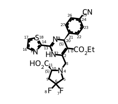 CCOC(=O)C1=C(CN2CC(F)(F)C[C@H]2C(=O)O)NC(c2nccs2)=N[C@H]1c1ccc(C#N)cc1